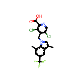 Cc1cn(Cc2c(Cl)cnc(C(=O)O)c2Cl)c2c(C)cc(C(F)(F)F)cc12